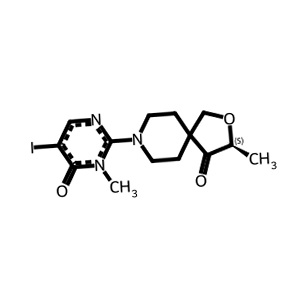 C[C@@H]1OCC2(CCN(c3ncc(I)c(=O)n3C)CC2)C1=O